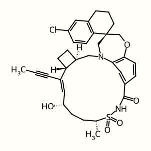 CC#C/C1=C\[C@@H](O)CC[C@@H](C)S(=O)(=O)NC(=O)c2ccc3c(c2)N(C[C@@H]2CC[C@@H]12)C[C@@]1(CCCc2cc(Cl)ccc21)CO3